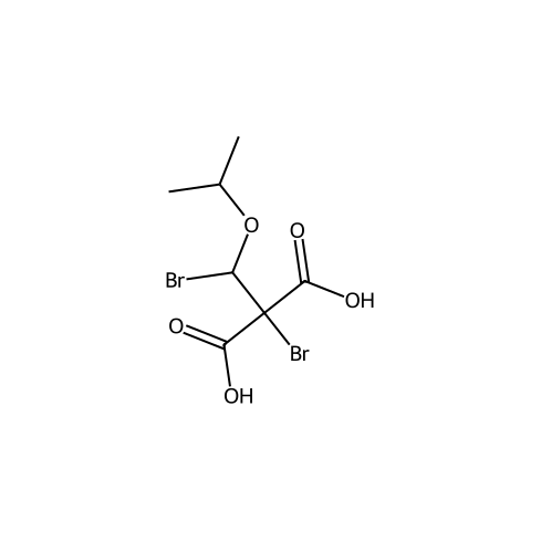 CC(C)OC(Br)C(Br)(C(=O)O)C(=O)O